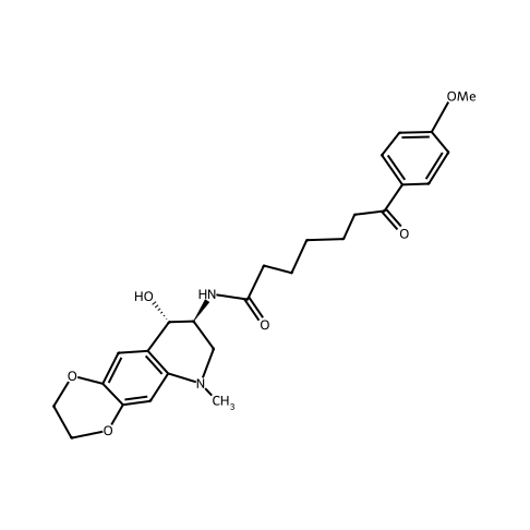 COc1ccc(C(=O)CCCCCC(=O)N[C@H]2CN(C)c3cc4c(cc3[C@@H]2O)OCCO4)cc1